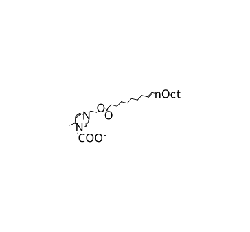 CCCCCCCCC=CCCCCCCCC(=O)OCCN1C#CC(C)=[N+](CC(=O)[O-])CC1